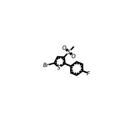 CS(=O)(=O)c1cc(Br)sc1-c1ccc(F)cc1